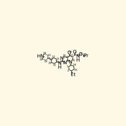 CCc1ccc(-n2cc(C(=O)NOC(C)C)c(=O)c3cnc(Nc4ccc(C5CCNCC5)cc4)nc32)cc1